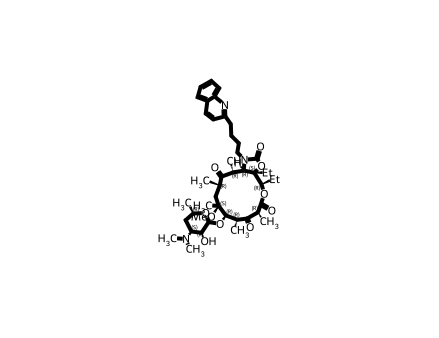 CC[C@H]1OC(=O)[C@H](C)C(=O)[C@H](C)[C@@H](OC2O[C@H](C)C[C@H](N(C)C)[C@H]2O)[C@@](C)(OC)C[C@@H](C)C(=O)[C@H](C)[C@H]2N(CCCCc3ccc4ccccc4n3)C(=O)O[C@]12CC